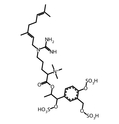 CC(C)=CCC/C(C)=C/CN(CCCC(C(=O)OC(C)C(OS(=O)(=O)O)c1ccc(OS(=O)(=O)O)c(COS(=O)(=O)O)c1)[N+](C)(C)C)C(=N)N